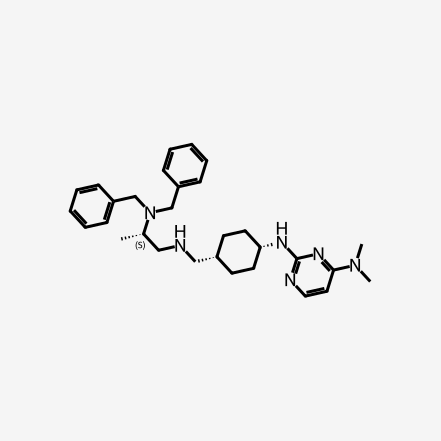 C[C@@H](CNC[C@H]1CC[C@@H](Nc2nccc(N(C)C)n2)CC1)N(Cc1ccccc1)Cc1ccccc1